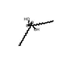 CCCCCCCCCCCCCCCCC1=C(C(CCO)CCCCCCCCCCCCCCC)C(=O)N(CCO)C1=O